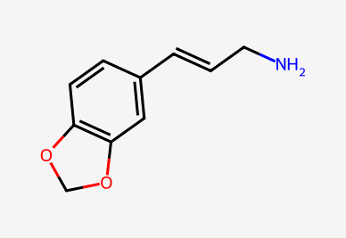 NCC=Cc1ccc2c(c1)OCO2